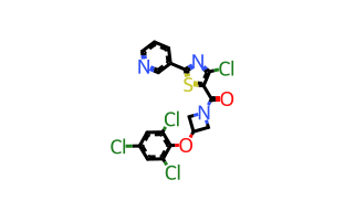 O=C(c1sc(-c2cccnc2)nc1Cl)N1CC(Oc2c(Cl)cc(Cl)cc2Cl)C1